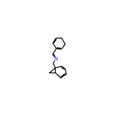 C1=CC2CC2(C/N=C/C2=CCCC=C2)C=C1